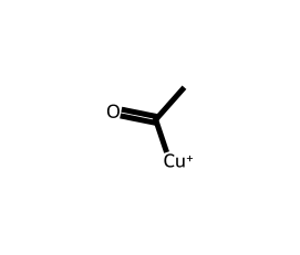 C[C](=O)[Cu+]